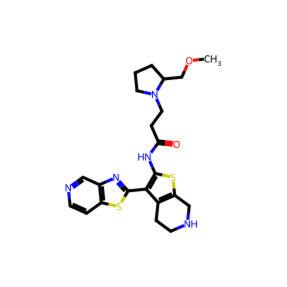 COCC1CCCN1CCC(=O)Nc1sc2c(c1-c1nc3cnccc3s1)CCNC2